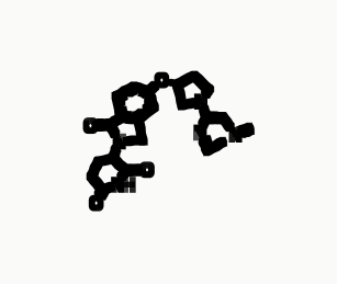 C=N/C=C(\N=C/C)N1CC[C@@H](Oc2ccc3c(c2)CN(C2CCC(=O)NC2=O)C3=O)C1